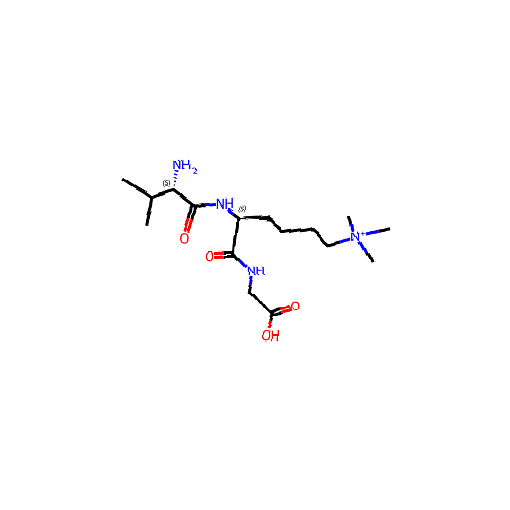 CC(C)[C@H](N)C(=O)N[C@@H](CCCC[N+](C)(C)C)C(=O)NCC(=O)O